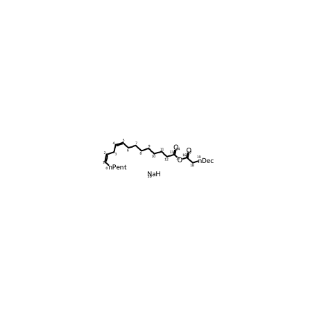 CCCCC/C=C\C/C=C\CCCCCCCC(=O)OC(=O)CCCCCCCCCCC.[NaH]